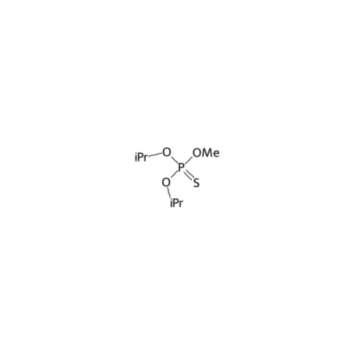 COP(=S)(OC(C)C)OC(C)C